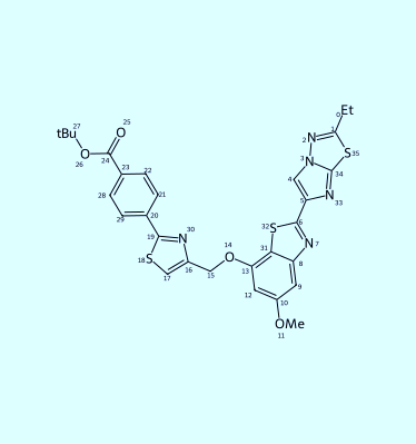 CCc1nn2cc(-c3nc4cc(OC)cc(OCc5csc(-c6ccc(C(=O)OC(C)(C)C)cc6)n5)c4s3)nc2s1